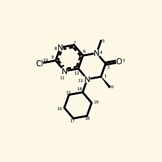 C[C@@H]1C(=O)N(C)c2cnc(Cl)nc2N1C1CCCCC1